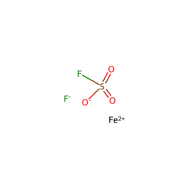 O=S(=O)([O-])F.[F-].[Fe+2]